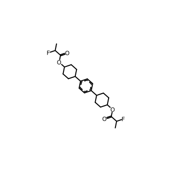 CC(F)C(=O)OC1CCC(c2ccc(C3CCC(OC(=O)C(C)F)CC3)cc2)CC1